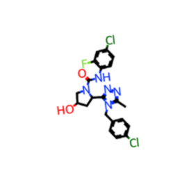 Cc1nnc(C2CC(O)CN2C(=O)Nc2ccc(Cl)cc2F)n1Cc1ccc(Cl)cc1